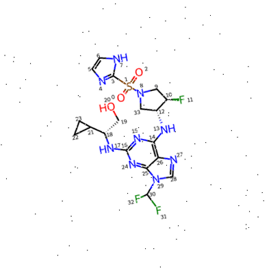 O=S(=O)(c1ncc[nH]1)N1C[C@@H](F)[C@H](Nc2nc(N[C@@H](CO)C3CC3)nc3c2ncn3C(F)F)C1